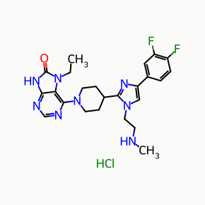 CCn1c(=O)[nH]c2ncnc(N3CCC(c4nc(-c5ccc(F)c(F)c5)cn4CCNC)CC3)c21.Cl